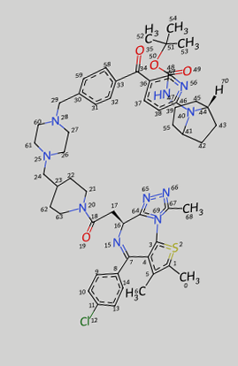 Cc1sc2c(c1C)C(c1ccc(Cl)cc1)=N[C@@H](CC(=O)N1CCC(CN3CCN(Cc4ccc(C(=O)c5ccc(N6C7CC[C@H]6C[C@@H](NC(=O)OC(C)(C)C)C7)nc5)cc4)CC3)CC1)c1nnc(C)n1-2